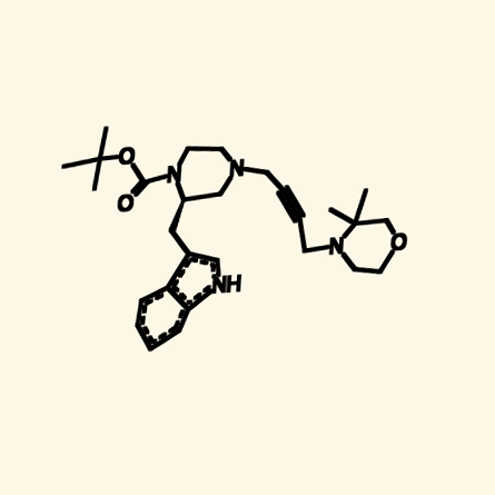 CC(C)(C)OC(=O)N1CCN(CC#CCN2CCOCC2(C)C)C[C@H]1Cc1c[nH]c2ccccc12